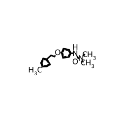 Cc1ccc(CCOc2ccc(NC(=O)N(C)C)cc2)cc1